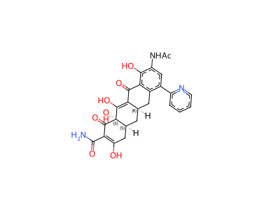 CC(=O)Nc1cc(-c2ccccn2)c2c(c1O)C(=O)C1=C(O)[C@]3(O)C(=O)C(C(N)=O)=C(O)C[C@@H]3C[C@@H]1C2